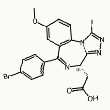 COc1ccc2c(c1)C(c1ccc(Br)cc1)=N[C@@H](CC(=O)O)c1nnc(C)n1-2